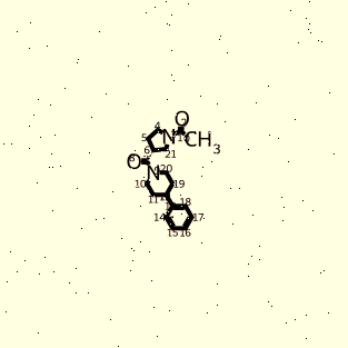 CC(=O)N1CC[C@@H](C(=O)N2CCC(c3[c]cccc3)CC2)C1